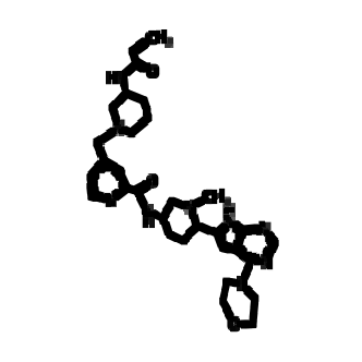 C=CC(=O)N[C@H]1CCCN(Cc2ccnc(C(=O)N[C@@H]3CCC(c4cc5c(N6CCOCC6)ncnc5[nH]4)N(C)C3)c2)C1